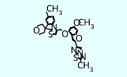 CCc1cccc(C2(c3nc(COc4cc(OC)cc5oc(-c6cn7nc(C)sc7n6)cc45)cs3)CCOCC2)c1